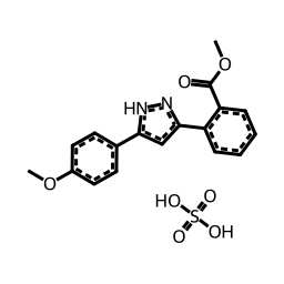 COC(=O)c1ccccc1-c1cc(-c2ccc(OC)cc2)[nH]n1.O=S(=O)(O)O